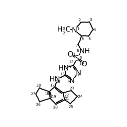 CN1CCCCC1CNS(=O)(=O)c1nnc(Nc2c3c(cc4c2CCC4)CCC3)[nH]1